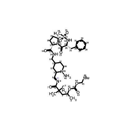 CC(CC(C)(C)C(=O)/N=C/C1CC(CNC(=O)[C@@H]2CCCN2C(=O)[C@@H](Cc2ccccc2)NS(C)(=O)=O)CCN1N)OC(=O)OCC(C)(C)C